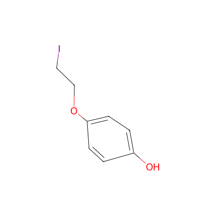 Oc1ccc(OCCI)cc1